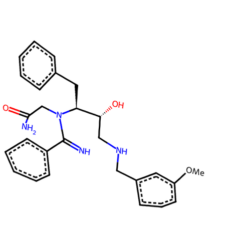 COc1cccc(CNC[C@@H](O)[C@H](Cc2ccccc2)N(CC(N)=O)C(=N)c2ccccc2)c1